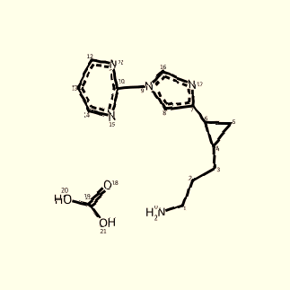 NCCCC1CC1c1cn(-c2ncccn2)cn1.O=C(O)O